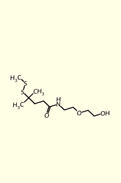 CSSC(C)(C)CCC(=O)NCCOCCO